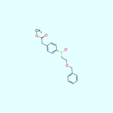 COC(=O)Cc1ccc([S+]([O-])CCOCc2ccccc2)cc1